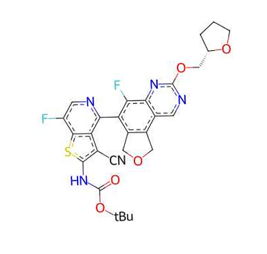 CC(C)(C)OC(=O)Nc1sc2c(F)cnc(-c3c4c(c5cnc(OC[C@@H]6CCCO6)nc5c3F)COC4)c2c1C#N